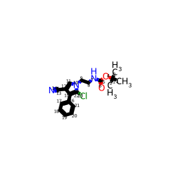 CC(C)(C)OC(=O)NCCn1cc(C#N)c(-c2ccccc2)c1Cl